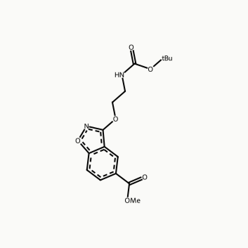 COC(=O)c1ccc2onc(OCCNC(=O)OC(C)(C)C)c2c1